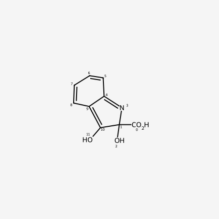 O=C(O)C1(O)N=c2ccccc2=C1O